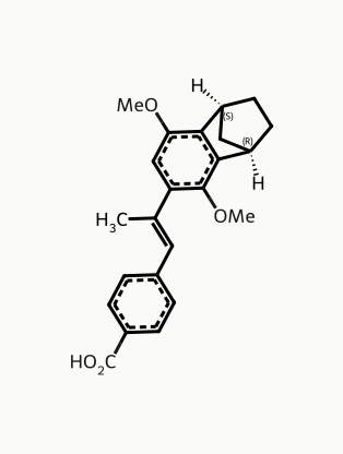 COc1cc(C(C)=Cc2ccc(C(=O)O)cc2)c(OC)c2c1[C@H]1CC[C@@H]2C1